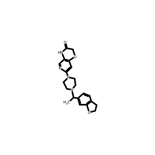 CC(c1ccc2c(c1)OCC2)N1CCN(c2cc3c(cn2)NC(=O)CO3)CC1